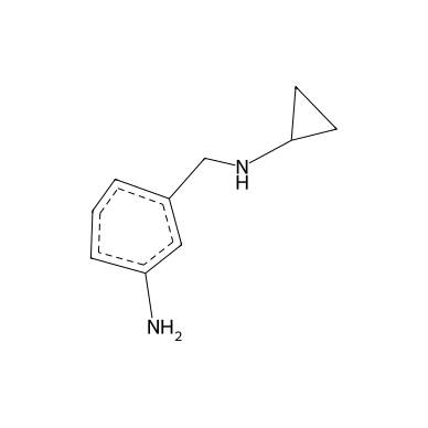 Nc1cccc(CNC2CC2)c1